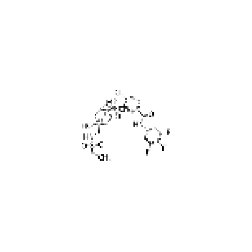 CCS(=O)(=O)NC[C@]1(O)CC2C[C@H](C)C(C1)[C@@H]2S(=O)(=O)c1cc(C(=O)Nc2cc(F)c(F)c(F)c2)ccc1Cl